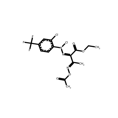 CCOC(=O)C(=NN(Cl)c1ccc(C(F)(F)F)cc1Cl)C(C)=NOC(C)=O